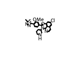 COc1cc(C(=O)N(c2nccc3cc(Cl)cc(C)c23)[C@@H]2CCCNC2)ccc1-c1nnc(C)s1